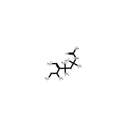 C/C=C(\C(C)CC)C(C)(C)CC(C)(C)NC(=O)O